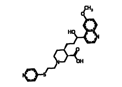 COc1ccc2nccc(C(O)CC[C@@H]3CCN(CCSc4ccncc4)C[C@@H]3C(=O)O)c2c1